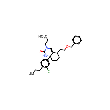 CC(C)(C)CCc1ccc(C23CCCC(CCOCc4ccccc4)C2=CN(CCC(=O)O)C(=O)N3)cc1Cl